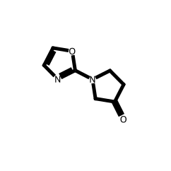 O=C1CCN(c2ncco2)C1